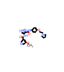 COc1cncc(C(=O)Nc2c[nH]nc2C(=O)Nc2ccc(OCCN3CCCC3)cc2)c1